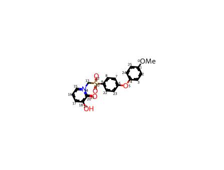 COc1ccc(Oc2ccc(S(=O)(=O)Cn3cccc(O)c3=O)cc2)cc1